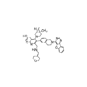 CC1(C)CCN(c2c(CC(=O)O)c(Cl)nc(CNCC3CCOCC3)c2-c2ccc3c(c2)CCN(c2ncnc4c2oc2ccccc24)C3)CC1